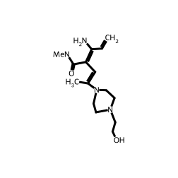 C=C/C(N)=C(\C=C(/C)N1CCN(CCO)CC1)C(=O)NC